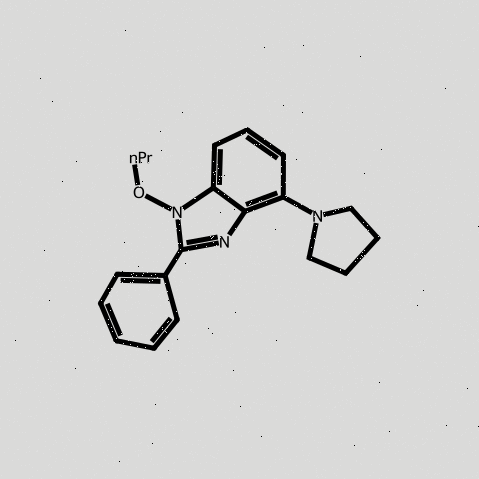 CCCOn1c(-c2ccccc2)nc2c(N3CCCC3)cccc21